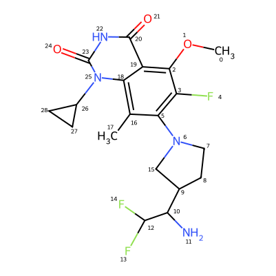 COc1c(F)c(N2CCC(C(N)C(F)F)C2)c(C)c2c1c(=O)[nH]c(=O)n2C1CC1